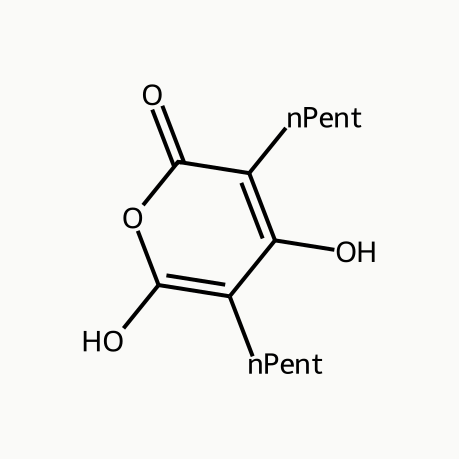 CCCCCc1c(O)oc(=O)c(CCCCC)c1O